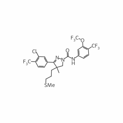 CSCCCC1(C)CN(C(=O)Nc2ccc(C(F)(F)F)c(OC(F)(F)F)c2)N=C1c1ccc(C(F)(F)F)c(Cl)c1